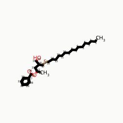 CCCCCCCCCCCCCCCCSCC(CO)CC(C)OC(=O)c1ccccc1